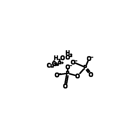 O.O.O=P([O-])([O-])OP(=O)([O-])[O-].[Cu+2].[Cu+2]